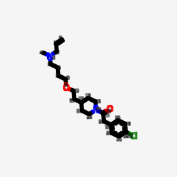 C=CCN(C)CCCCOCCC1CCN(C(=O)Cc2ccc(Cl)cc2)CC1